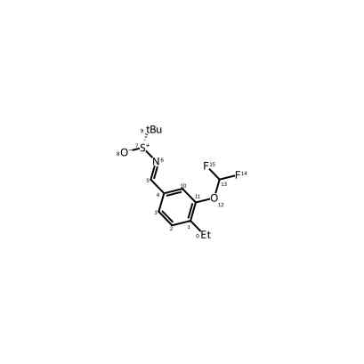 CCc1ccc(/C=N/[S@+]([O-])C(C)(C)C)cc1OC(F)F